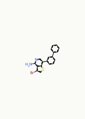 Nc1ncc(-c2cccc(-c3ccccc3)c2)c2scc(Br)c12